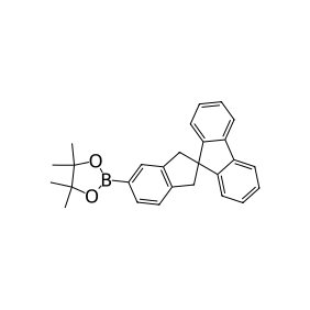 CC1(C)OB(c2ccc3c(c2)CC2(C3)c3ccccc3-c3ccccc32)OC1(C)C